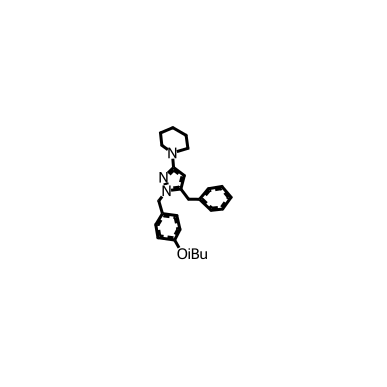 CC(C)COc1ccc(Cn2nc(N3CCCCC3)cc2Cc2ccccc2)cc1